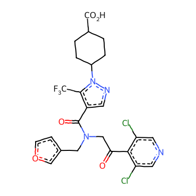 O=C(CN(Cc1ccoc1)C(=O)c1cnn(C2CCC(C(=O)O)CC2)c1C(F)(F)F)c1c(Cl)cncc1Cl